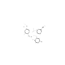 Cc1cc(S(N)(=O)=O)ccc1NC(=O)Cc1ccc(Cl)c(Oc2cc(C#N)cc(C(F)F)c2)c1F